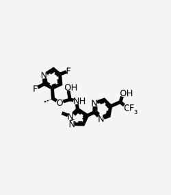 C[C@@H](OC(O)Nc1c(-c2ncc(C(O)C(F)(F)F)cn2)cnn1C)c1cc(F)cnc1F